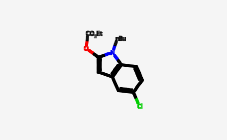 CCCCn1c(OC(=O)OCC)cc2cc(Cl)ccc21